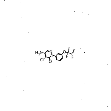 Nc1cnn(-c2cccc(OC(F)(F)C(F)F)c2)c(=O)c1Cl